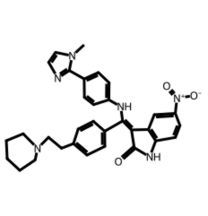 Cn1ccnc1-c1ccc(NC(=C2C(=O)Nc3ccc([N+](=O)[O-])cc32)c2ccc(CCN3CCCCC3)cc2)cc1